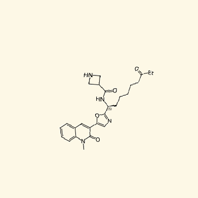 CCC(=O)CCCCC[C@H](NC(=O)C1CNC1)c1ncc(-c2cc3ccccc3n(C)c2=O)o1